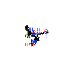 CC(=O)NCCCCNc1cc(C2(Cc3nncn3C)CCC2)cc(N2Cc3c(cc(CNC4(C)CCC4)cc3C(F)(F)F)C2=O)n1.O=CO